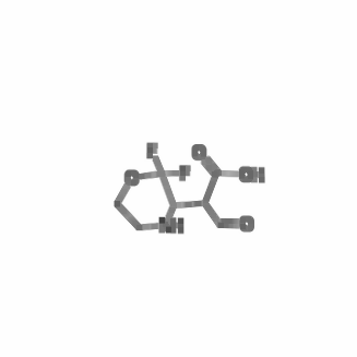 O=CC(C(=O)O)C1NCCOC1(F)F